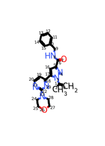 C=C(C)n1nc(C(=O)NCc2ccccc2)cc1-c1ccnc(N2CCOCC2)n1